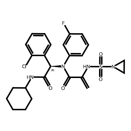 C=C(NS(=O)(=O)N1CC1)C(=O)N(c1cccc(F)c1)[C@@H](C(=O)NC1CCCCC1)c1ccccc1Cl